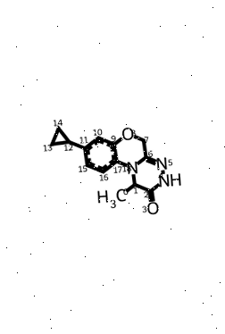 CC1C(=O)NN=C2COc3cc(C4CC4)ccc3N21